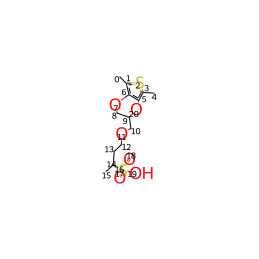 Cc1sc(C)c2c1OCC(COCCC(C)S(=O)(=O)O)O2